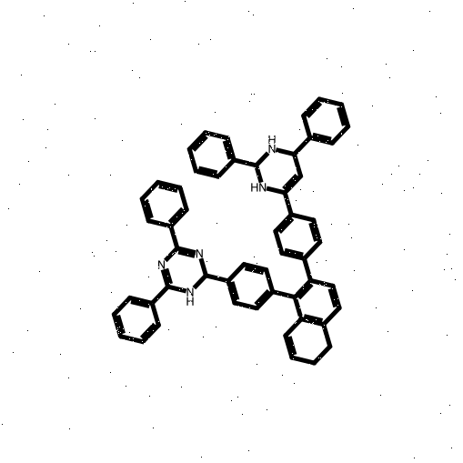 C1=Cc2c(ccc(-c3ccc(C4=CC(c5ccccc5)NC(c5ccccc5)N4)cc3)c2-c2ccc(C3N=C(c4ccccc4)N=C(c4ccccc4)N3)cc2)CC1